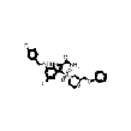 NC(=O)c1[nH]c2c(NCc3ccc(F)cc3)cc(Cl)cc2c1S(=O)(=O)N1CCOC(COc2ccccc2)C1